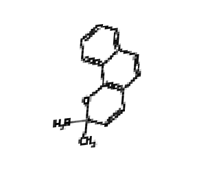 BC1(C)C=Cc2ccc3ccccc3c2O1